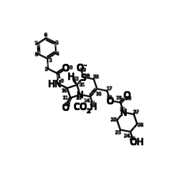 O=C(Cc1ccccc1)NC1C(=O)N2C(C(=O)O)=C(COC(=O)N3CCC(O)CC3)C[S+]([O-])[C@@H]12